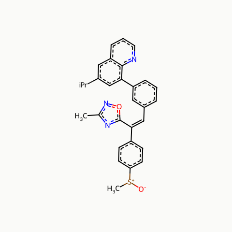 Cc1noc(C(=Cc2cccc(-c3cc(C(C)C)cc4cccnc34)c2)c2ccc([S+](C)[O-])cc2)n1